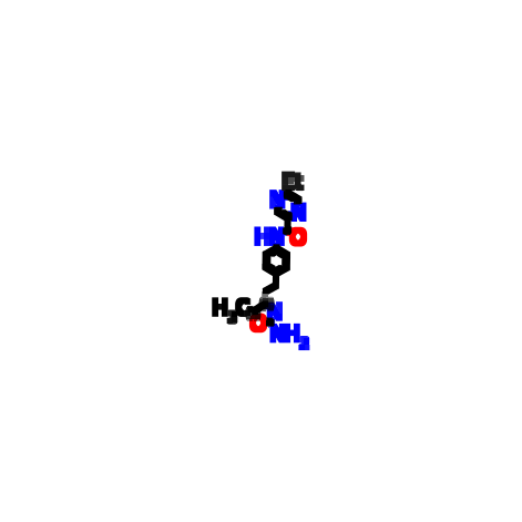 CCc1cnc(C(=O)Nc2ccc(CC[C@@H]3N=C(N)O[C@H]3C)cc2)cn1